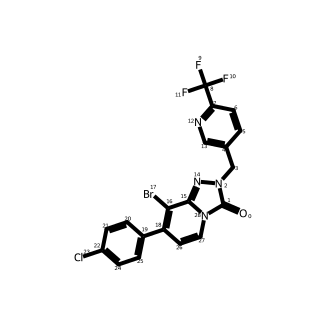 O=c1n(Cc2ccc(C(F)(F)F)nc2)nc2c(Br)c(-c3ccc(Cl)cc3)ccn12